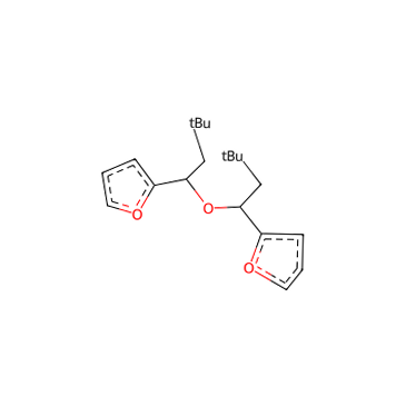 CC(C)(C)CC(OC(CC(C)(C)C)c1ccco1)c1ccco1